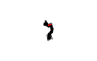 CC1(C)C(Oc2ccc(C#N)c3ncccc23)C(C)(C)C1c1cc(N2CCC(CN3CCN(c4ccc5c(c4)C(=O)N(C4CCC(=O)NC4=O)C5=O)CC3)CC2)ccc1C(N)=O